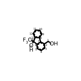 OCc1cccc2c1-c1ccccc1C2(O)C(F)(F)F